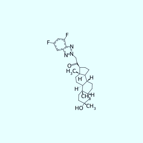 C[C@@]1(O)CC[C@@]2(C)[C@H](CC[C@@H]3[C@@H]2CC[C@]2(C)[C@@H](C(=O)Cn4nc5cc(F)cc(F)c5n4)CC[C@@H]32)C1